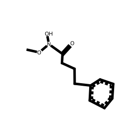 CON(O)C(=O)CCCc1ccccc1